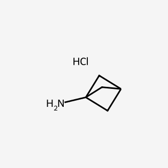 Cl.NC12CC(C1)C2